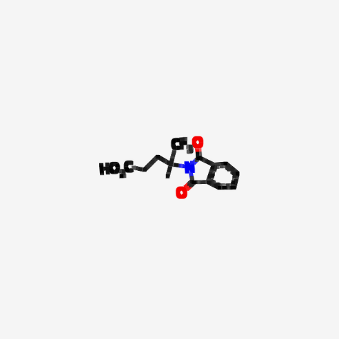 CC(CCC(=O)O)(N1C(=O)c2ccccc2C1=O)C(F)(F)F